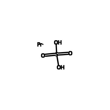 O=S(=O)(O)O.[Pr]